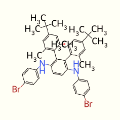 Cc1cc(C(C)(C)C)cc(C)c1-c1c(Nc2ccc(Br)cc2)ccc(Nc2ccc(Br)cc2)c1-c1c(C)cc(C(C)(C)C)cc1C